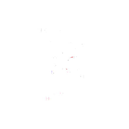 CC(=O)OC[C@H]1O[C@@H]([n+]2cccc(C(=O)O)c2)[C@H](OC(C)=O)[C@@H]1OC(C)=O